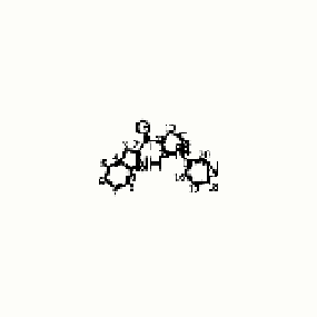 O=C(c1cc2ccccc2[nH]1)C1CSN(c2cccnc2)C1